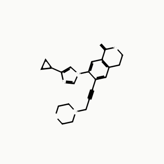 O=C1NCCc2cc(C#CCN3CCOCC3)c(-n3cnc(C4CC4)c3)cc21